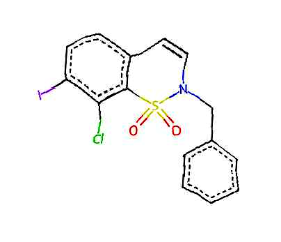 O=S1(=O)c2c(ccc(I)c2Cl)C=CN1Cc1ccccc1